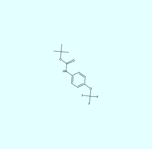 CC(C)(C)OC(=O)Nc1[c]cc(OC(F)(F)F)cc1